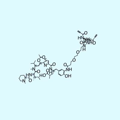 C#CC(=O)NNP(=O)(NCCOCCOCCC(=O)Nc1cc(C[C@@H](CC(C)C(=O)O)NC(=O)c2csc([C@@H](C[C@H](C(C)C)N(C)C(=O)[C@@H](NC(=O)[C@H]3CCCCN3C)[C@@H](C)CC)OC(C)=O)n2)ccc1O)NNC(=O)C#C